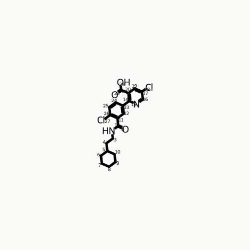 O=C(NCCC1CCCCC1)c1cc(-c2ncc(Cl)cc2C(=O)O)ccc1Cl